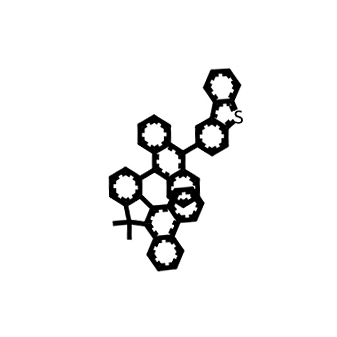 CC1(C)c2cccc(-c3c4ccccc4c(-c4ccc5sc6ccccc6c5c4)c4ccccc34)c2-c2c1c1ccccc1c1ccccc21